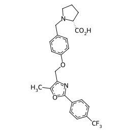 Cc1oc(-c2ccc(C(F)(F)F)cc2)nc1COc1ccc(CN2CCC[C@@H]2C(=O)O)cc1